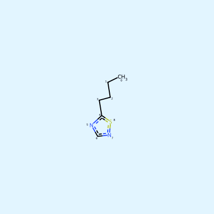 CCCCc1ncns1